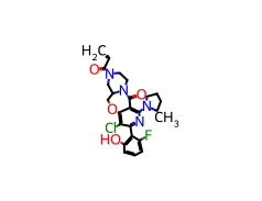 C=CC(=O)N1CCN2C(=O)c3c(N4CCCC4C)nc(-c4c(O)cccc4F)c(Cl)c3OCC2C1